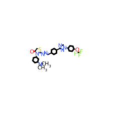 CN(C)c1cccc(N2C(=O)CS/C2=N\N=C\c2ccc(-c3ncn(-c4ccc(OC(F)(F)F)cc4)n3)cc2)c1